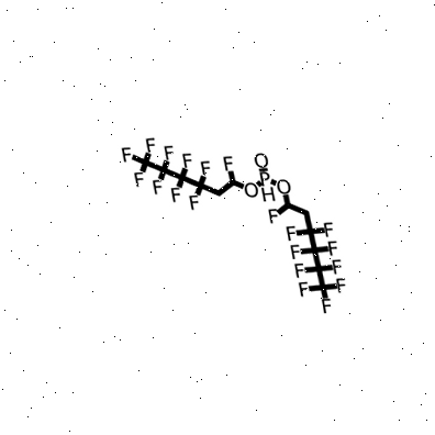 O=[PH](OC(F)CC(F)(F)C(F)(F)C(F)(F)C(F)(F)F)OC(F)CC(F)(F)C(F)(F)C(F)(F)C(F)(F)F